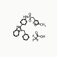 Cc1cc(CS(=O)(=O)Nc2ccc(-c3nc4ccccc4n3Cc3ccccc3)cc2)no1.O=C(O)C(F)(F)F